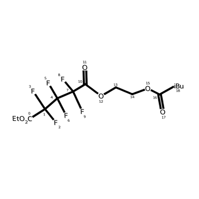 CCOC(=O)C(F)(F)C(F)(F)C(F)(F)C(=O)OCCOC(=O)C(C)CC